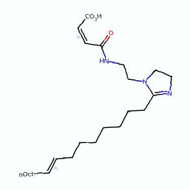 CCCCCCCC/C=C/CCCCCCCC1=NCCN1CCNC(=O)/C=C\C(=O)O